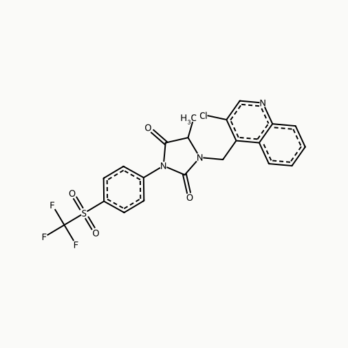 CC1C(=O)N(c2ccc(S(=O)(=O)C(F)(F)F)cc2)C(=O)N1Cc1c(Cl)cnc2ccccc12